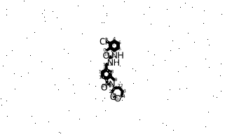 Cc1c(Cl)cccc1NC(=O)NCc1ccc2c(c1)CN(C1CCCOOC1)C2=O